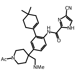 CNCC1(c2ccc(NC(=O)c3nc(C#N)c[nH]3)c(C3=CCC(C)(C)CC3)c2)CCN(C(C)=O)CC1